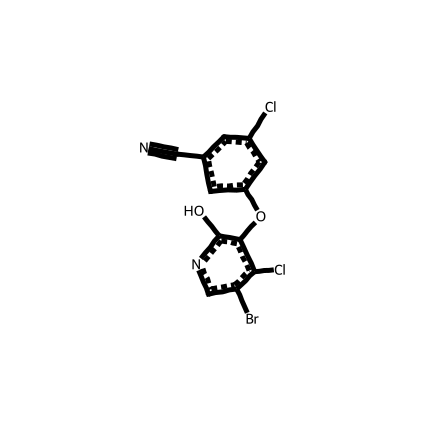 N#Cc1cc(Cl)cc(Oc2c(O)ncc(Br)c2Cl)c1